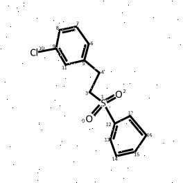 O=S(=O)(CCc1cc[c]c(Cl)c1)c1ccccc1